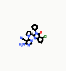 N#Cc1c(N)ncnc1N1CCC[C@H]1c1nc2cccc(Cl)c2c(=O)n1-c1ccccc1